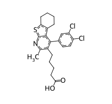 Cc1nc2sc3c(c2c(-c2ccc(Cl)c(Cl)c2)c1CCCCC(=O)O)CCCC3